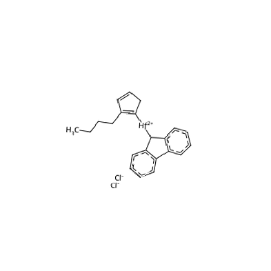 CCCCC1=[C]([Hf+2][CH]2c3ccccc3-c3ccccc32)CC=C1.[Cl-].[Cl-]